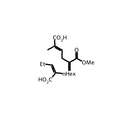 C=C(CC=C(C)C(=O)O)C(=O)OC.CCC=C(CCCCCC)C(=O)O